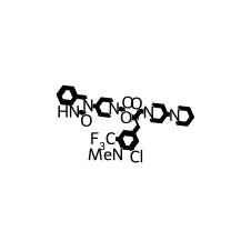 CNc1c(Cl)cc(C[C@@H](OC(=O)N2CCC(N3Cc4ccccc4NC3=O)CC2)C(=O)N2CCC(N3CCCCC3)CC2)cc1C(F)(F)F